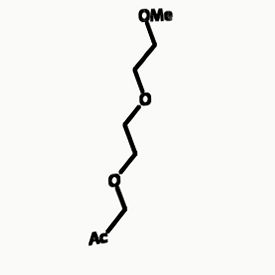 COCCOCCOCC(C)=O